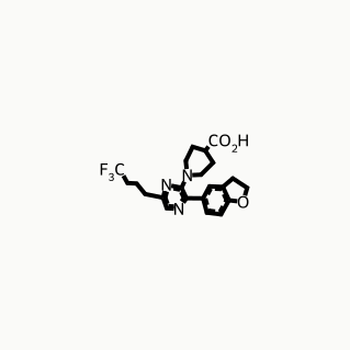 O=C(O)C1CCN(c2nc(CCCC(F)(F)F)cnc2-c2ccc3c(c2)CCO3)CC1